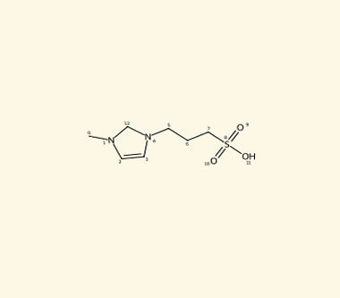 CN1C=CN(CCCS(=O)(=O)O)C1